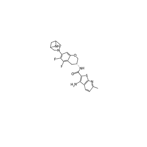 Cc1ccc2c(N)c(C(=O)N[C@H]3COc4cc(N5CC6CC(C5)N6)c(F)c(F)c4C3)sc2n1